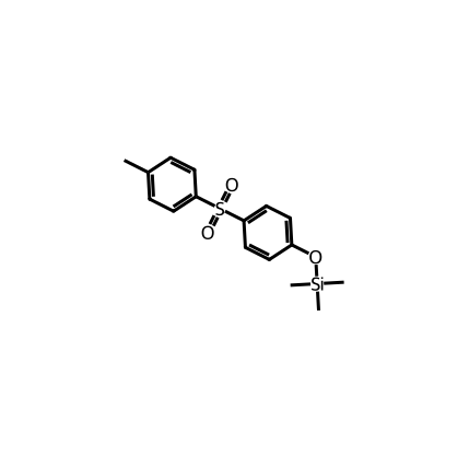 Cc1ccc(S(=O)(=O)c2ccc(O[Si](C)(C)C)cc2)cc1